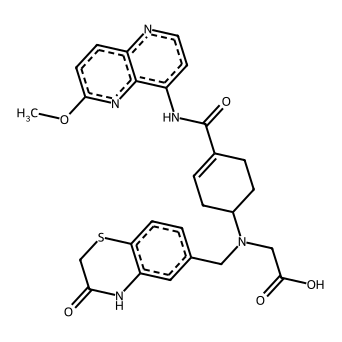 COc1ccc2nccc(NC(=O)C3=CCC(N(CC(=O)O)Cc4ccc5c(c4)NC(=O)CS5)CC3)c2n1